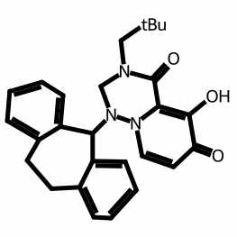 CC(C)(C)CN1CN(C2c3ccccc3CCc3ccccc32)n2ccc(=O)c(O)c2C1=O